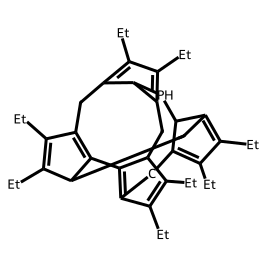 CCC1=C(CC)C2CC3=C(CC)C(CC)=C4CC5=C6C2=C1CC1=C(CC)C(CC)=C(CC6C(CC)=C5CC)C1PC43